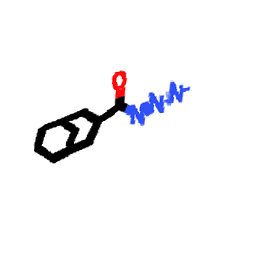 [N-]=[N+]=NC(=O)C1CC2C=CCC(C2)C1